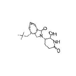 CC(C)(C)Cc1cccc2c1CN(C1CCC(=O)NC1O)C2=O